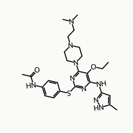 CCOc1c(Nc2cc(C)[nH]n2)nc(Sc2ccc(NC(C)=O)cc2)nc1N1CCN(CCN(C)C)CC1